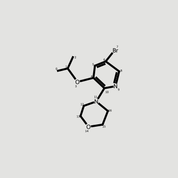 CC(C)Oc1cc(Br)cnc1N1CCOCC1